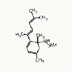 CSNC1(C)CC(C)=CC=C1/C(C)=C/C=C(C)C